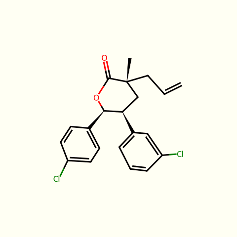 C=CC[C@]1(C)C[C@@H](c2cccc(Cl)c2)[C@@H](c2ccc(Cl)cc2)OC1=O